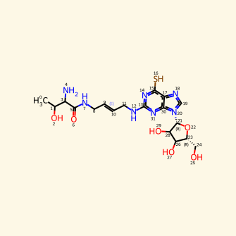 CC(O)C(N)C(=O)NC/C=C/CNc1nc(S)c2ncn([C@@H]3O[C@H](CO)C(O)C3O)c2n1